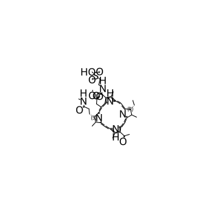 CC[C@H]1c2cc3[nH]c(c(CC(=O)OC)c4nc(cc5[nH]c(cc(n2)C1C)c(C(C)=O)c5C)C(C)[C@@H]4CCC(=O)NC)c(C(=O)NCCS(=O)(=O)O)c3C